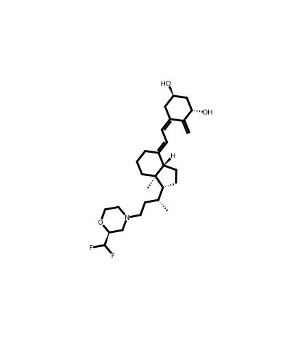 C=C1/C(=C\C=C2/CCC[C@]3(C)[C@@H]([C@H](C)CCN4CCO[C@H](C(F)F)C4)CC[C@@H]23)C[C@@H](O)C[C@@H]1O